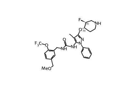 COCc1ccc(OC(F)(F)F)c(CNC(=O)Nc2c(C)c(O[C@H]3CCNC[C@@H]3F)nn2-c2ccccc2)c1